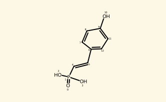 O=P(O)(O)C=Cc1ccc(O)cc1